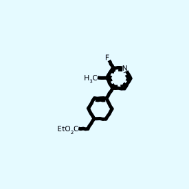 CCOC(=O)CC1CC=C(c2ccnc(F)c2C)CC1